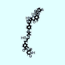 O=C1CC[C@@H](N2Cc3cc(CC[C@H](O)CN4CC5(C4)CN(c4ccc(-c6cnc7[nH]cc(C(=O)c8c(F)ccc(NS(=O)(=O)N9CC[C@@H](F)C9)c8F)c7c6)cc4)C5)ccc3C2=O)C(=O)N1